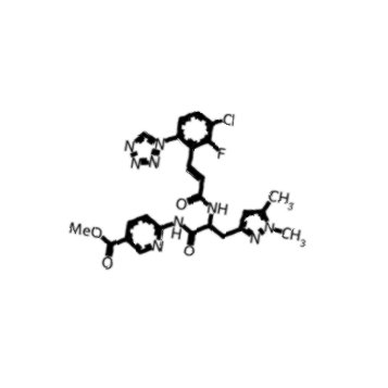 COC(=O)c1ccc(NC(=O)C(Cc2cc(C)n(C)n2)NC(=O)C=Cc2c(-n3cnnn3)ccc(Cl)c2F)nc1